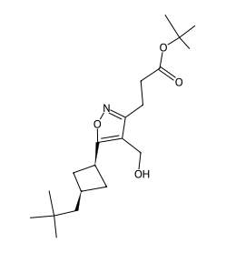 CC(C)(C)C[C@H]1C[C@@H](c2onc(CCC(=O)OC(C)(C)C)c2CO)C1